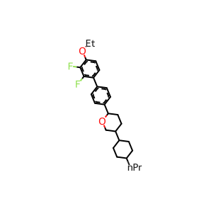 CCCC1CCC(C2CCC(c3ccc(-c4ccc(OCC)c(F)c4F)cc3)OC2)CC1